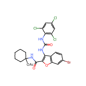 CC(=O)OC1(NC(=O)c2oc3cc(Br)ccc3c2NC(=O)Nc2c(Cl)cc(Cl)cc2Cl)CCCCC1